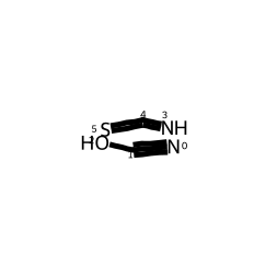 N#CO.N=C=S